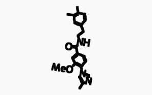 COc1cc(C(=O)NCCc2ccc(C)c(C)c2)ccc1-n1cnc(C)c1